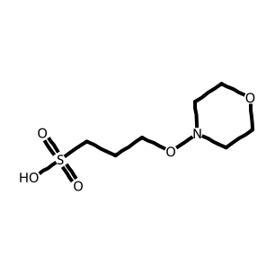 O=S(=O)(O)CCCON1CCOCC1